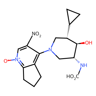 O=C(O)N[C@@H]1CN(c2c([N+](=O)[O-])c[n+]([O-])c3c2CCC3)C[C@H](C2CC2)[C@H]1O